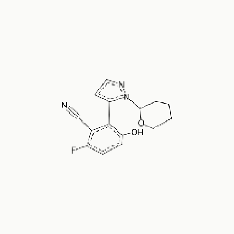 N#Cc1c(F)ccc(O)c1-c1ccnn1C1CCCCO1